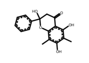 Cc1c(O)c(C)c2c(c1O)C(=O)CC(O)(c1ccccc1)O2